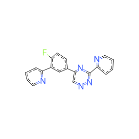 Fc1ccc(-c2cnnc(-c3ccccn3)n2)cc1-c1ccccn1